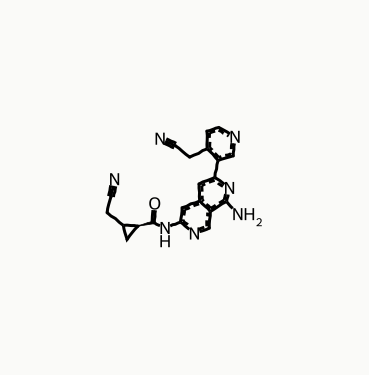 N#CCc1ccncc1-c1cc2cc(NC(=O)[C@H]3CC3CC#N)ncc2c(N)n1